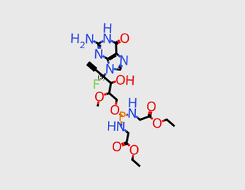 C#C[C@](F)(C(O)C(COP(NCC(=O)OCC)NCC(=O)OCC)OC)n1cnc2c(=O)[nH]c(N)nc21